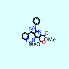 COC(=O)c1nc2c(c(-c3ccccc3)nn2-c2ccccc2)c(N)c1C(=O)OC